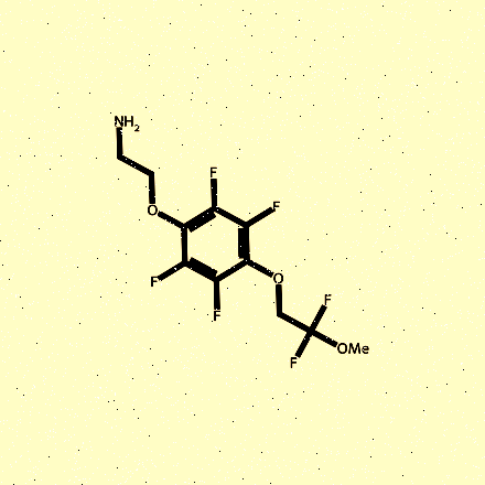 COC(F)(F)COc1c(F)c(F)c(OCCN)c(F)c1F